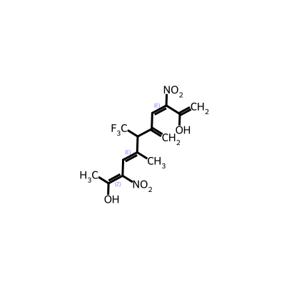 C=C(O)/C(=C\C(=C)C(/C(C)=C/C(=C(\C)O)[N+](=O)[O-])C(F)(F)F)[N+](=O)[O-]